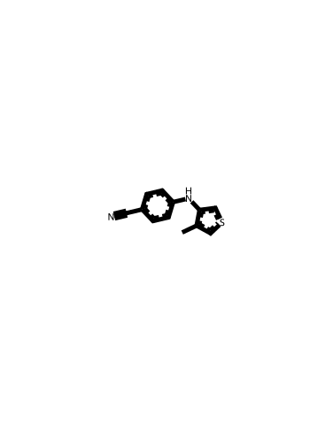 Cc1[c]scc1Nc1ccc(C#N)cc1